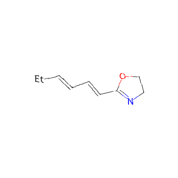 CCC=CC=CC1=NCCO1